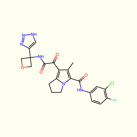 Cc1c(C(=O)C(=O)NC2(c3c[nH]nn3)COC2)c2n(c1C(=O)Nc1ccc(F)c(Cl)c1)CCC2